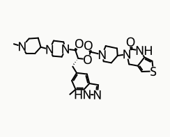 Cc1cc(C[C@@H](OC(=O)N2CCC(N3Cc4cscc4NC3=O)CC2)C(=O)N2CCN(C3CCN(C)CC3)CC2)cc2cn[nH]c12